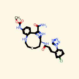 COC(=O)Nc1ccc2c(c1)NCCCCC[C@H](NC(=O)/C=C/c1cc(Cl)ccc1-n1cnnn1)c1nc-2c(C(N)=O)[nH]1